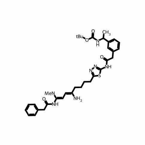 CN/C(=C\C=C(/N)CCCCc1nnc(NC(=O)Cc2cccc(C(C)NC(=O)OC(C)(C)C)c2)s1)NC(=O)Cc1ccccc1